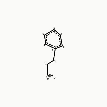 [AlH2][CH2]Cc1ccccc1